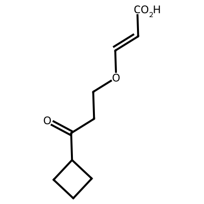 O=C(O)C=COCCC(=O)C1CCC1